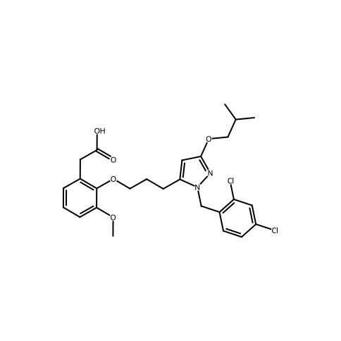 COc1cccc(CC(=O)O)c1OCCCc1cc(OCC(C)C)nn1Cc1ccc(Cl)cc1Cl